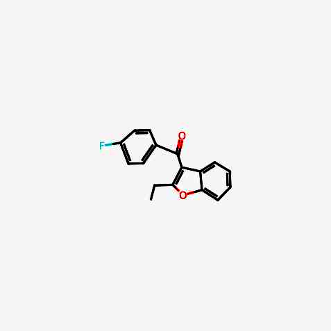 CCc1oc2ccccc2c1C(=O)c1ccc(F)cc1